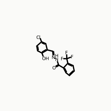 O=C(N/N=C/c1cc(Cl)ccc1O)c1ccccc1C(F)(F)F